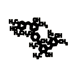 Cc1cc(Cc2cc(C3(C)CCC(C(C)(C)c4cc(C)c(O)c(Cc5cc(C)c(O)c(C)c5)c4)CC3)cc(C)c2O)cc(C)c1O